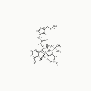 CC(C)(C)C[C@@H]1N[C@H](OC(=O)Nc2ccn(CCO)n2)[C@H](c2cccc(Cl)c2)[C@@]1(C#N)c1ccc(Cl)cc1